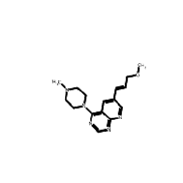 COC/C=C/c1cnc2ncnc(N3CCN(C)CC3)c2c1